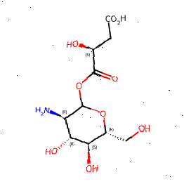 N[C@H]1C(OC(=O)[C@@H](O)CC(=O)O)O[C@H](CO)[C@@H](O)[C@@H]1O